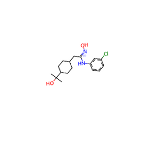 CC(C)(O)C1CCC(C/C(=N\O)Nc2cccc(Cl)c2)CC1